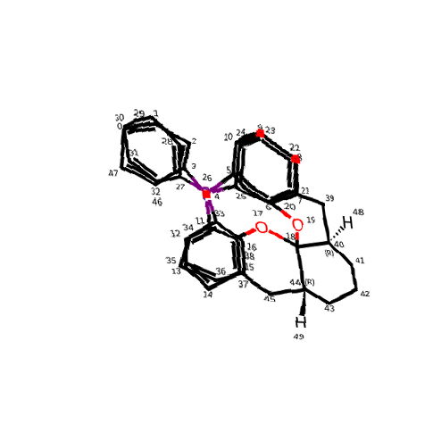 c1ccc(P(c2ccccc2)c2cccc3c2OC24Oc5c(cccc5P(c5ccccc5)c5ccccc5)C[C@H]2CCC[C@@H]4C3)cc1